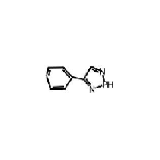 c1ccc(-c2cn[pH]n2)cc1